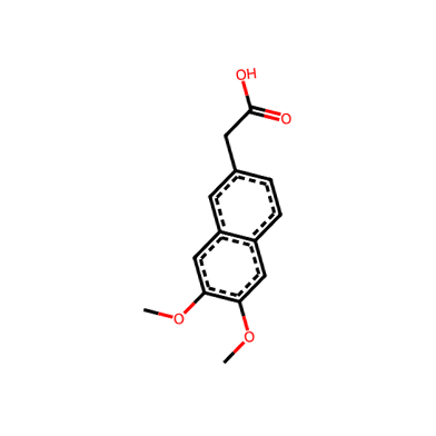 COc1cc2ccc(CC(=O)O)cc2cc1OC